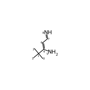 CC(C)(C)/C(N)=C/C=N